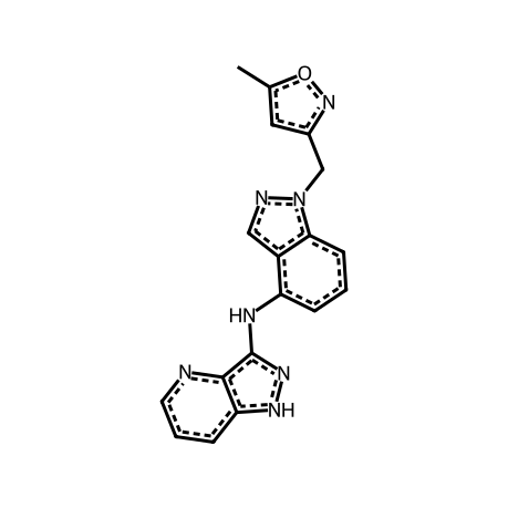 Cc1cc(Cn2ncc3c(Nc4n[nH]c5cccnc45)cccc32)no1